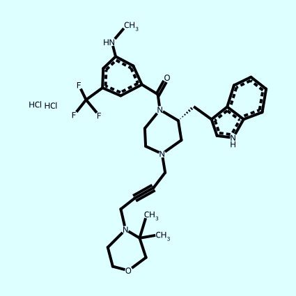 CNc1cc(C(=O)N2CCN(CC#CCN3CCOCC3(C)C)C[C@H]2Cc2c[nH]c3ccccc23)cc(C(F)(F)F)c1.Cl.Cl